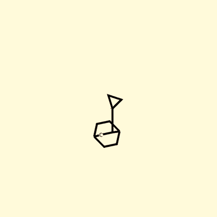 C1C[C]1C1CC2CCC1CC2